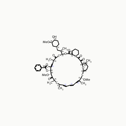 CO[C@H]1C[C@@H]2CC[C@@H](C)[C@@](O)(O2)C(=O)C(=O)N2CCCC[C@H]2C(=O)O[C@H]([C@H](C)C[C@@H]2CC[C@@H](O)[C@H](OC)C2)CC(=O)[C@H](C)/C=C(\C)[C@@H](OC(=O)c2ccccc2)[C@@H](OC)C(=O)[C@H](C)C[C@H](C)/C=C/C=C/C=C/1C